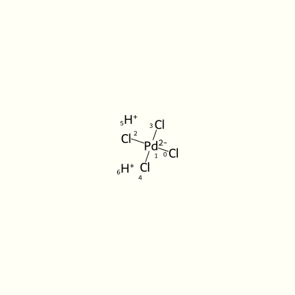 [Cl][Pd-2]([Cl])([Cl])[Cl].[H+].[H+]